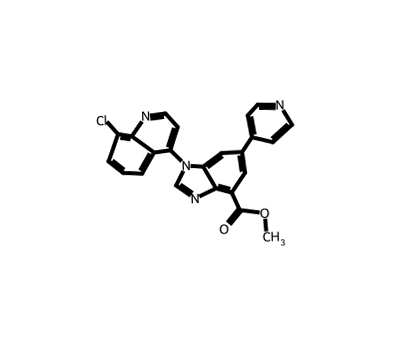 COC(=O)c1cc(-c2ccncc2)cc2c1ncn2-c1ccnc2c(Cl)cccc12